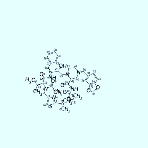 CC(C)c1nc(CN(C(=O)O)[C@H](C(=O)N[C@@H](Cc2ccccc2)[C@H](O)CN2CCN(Cc3ccc4c(c3)OCO4)C[C@H]2C(=O)NC(C)(C)C)C(C)C)cs1